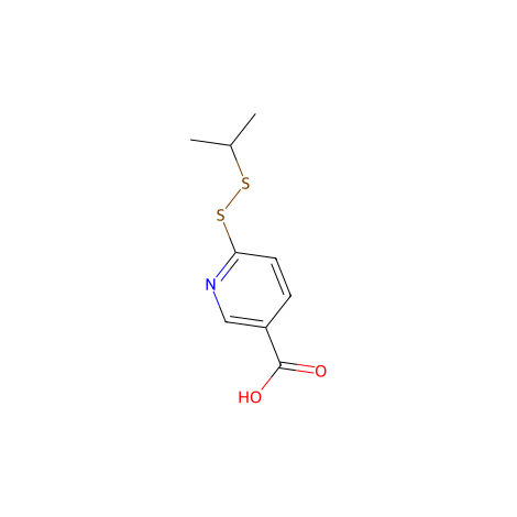 CC(C)SSc1ccc(C(=O)O)cn1